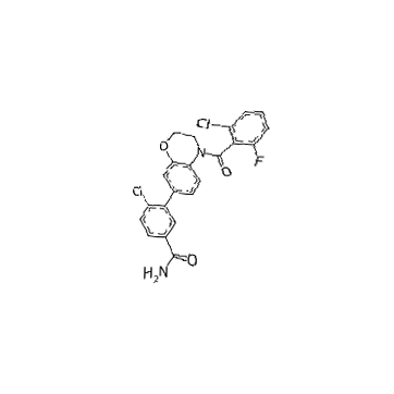 NC(=O)c1ccc(Cl)c(-c2ccc3c(c2)OCCN3C(=O)c2c(F)cccc2Cl)c1